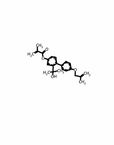 C=C(C)COc1ccc(-c2ccc(OC(=O)C(=C)C)cc2C(C)(C)O)cc1